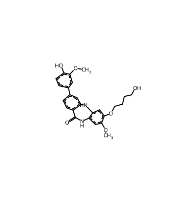 COc1cc(-c2ccc3c(c2)Nc2cc(OCCCCO)c(OC)cc2NC3=O)ccc1O